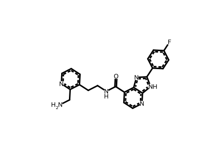 NCc1ncccc1CCNC(=O)c1ccnc2[nH]c(-c3ccc(F)cc3)nc12